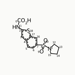 O=C(O)Nc1cc2ccc(S(=O)(=O)N3CCCC3)cc2s1